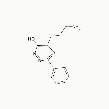 NCCCc1cc(-c2ccccc2)nnc1O